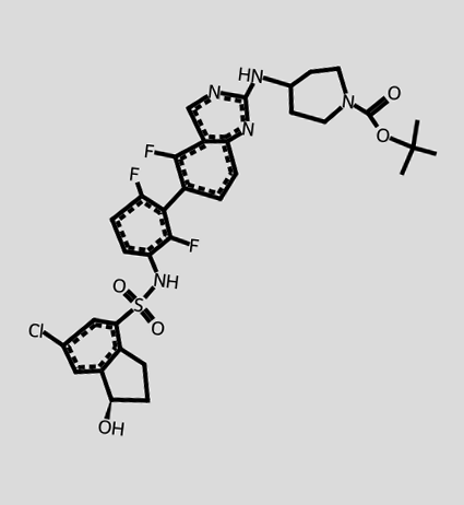 CC(C)(C)OC(=O)N1CCC(Nc2ncc3c(F)c(-c4c(F)ccc(NS(=O)(=O)c5cc(Cl)cc6c5CC[C@H]6O)c4F)ccc3n2)CC1